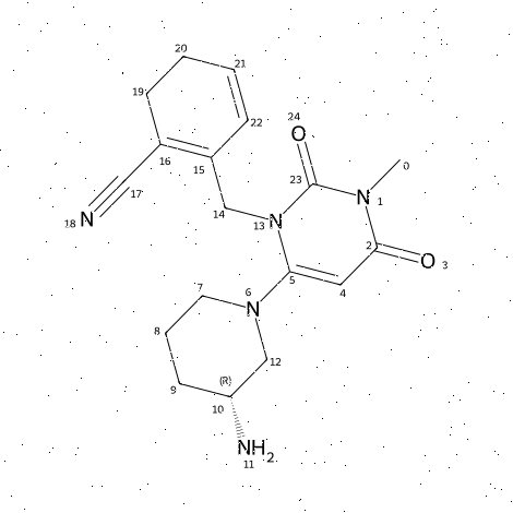 Cn1c(=O)cc(N2CCC[C@@H](N)C2)n(CC2=C(C#N)CCC=C2)c1=O